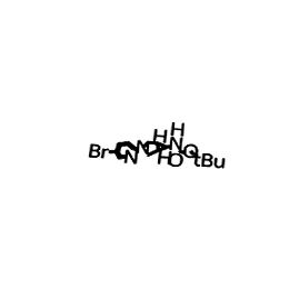 CC(C)(C)OC(=O)NC1[C@H]2CN(c3ccc(Br)cn3)C[C@@H]12